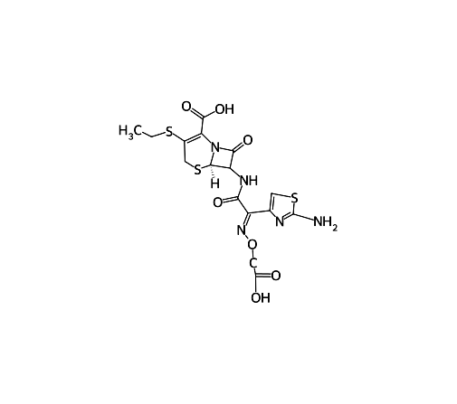 CCSC1=C(C(=O)O)N2C(=O)C(NC(=O)/C(=N/OCC(=O)O)c3csc(N)n3)[C@H]2SC1